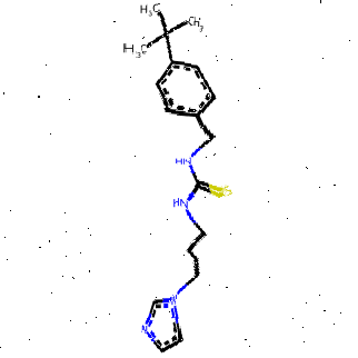 CC(C)(C)c1ccc(CNC(=S)NCCCn2ccnc2)cc1